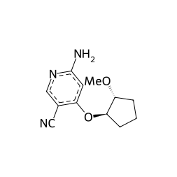 CO[C@@H]1CCC[C@H]1Oc1cc(N)ncc1C#N